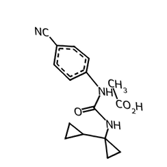 CC(=O)O.N#Cc1ccc(NC(=O)NC2(C3CC3)CC2)cc1